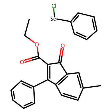 CCOC(=O)C1=C(c2ccccc2)c2ccc(C)cc2C1=O.Cl[Se]c1ccccc1